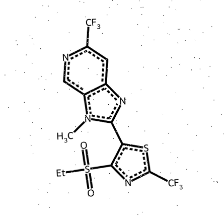 CCS(=O)(=O)c1nc(C(F)(F)F)sc1-c1nc2cc(C(F)(F)F)ncc2n1C